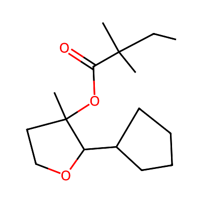 CCC(C)(C)C(=O)OC1(C)CCOC1C1CCCC1